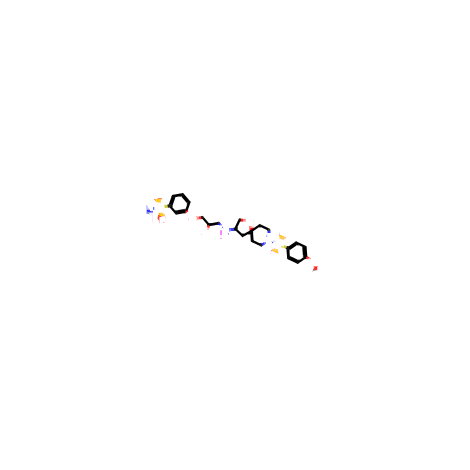 CNS(=O)(=O)c1cccc(OCC(O)CNC2COC3(CCN(S(=O)(=O)c4ccc(OC)cc4)CC3)C2)c1